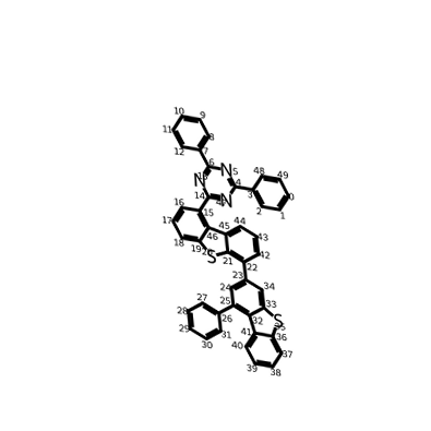 c1ccc(-c2nc(-c3ccccc3)nc(-c3cccc4sc5c(-c6cc(-c7ccccc7)c7c(c6)sc6ccccc67)cccc5c34)n2)cc1